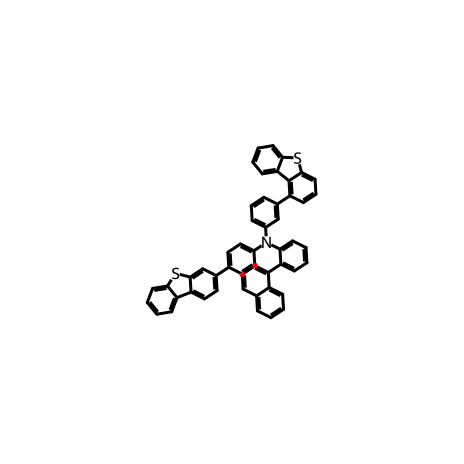 c1cc(-c2cccc3sc4ccccc4c23)cc(N(c2ccc(-c3ccc4c(c3)sc3ccccc34)cc2)c2ccccc2-c2cccc3ccccc23)c1